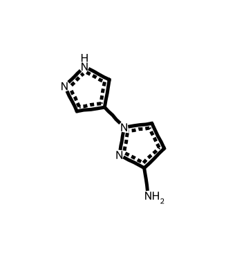 Nc1ccn(-c2cn[nH]c2)n1